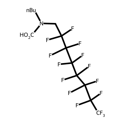 CCCCN(CC(F)(F)C(F)(F)C(F)(F)C(F)(F)C(F)(F)C(F)(F)C(F)(F)F)C(=O)O